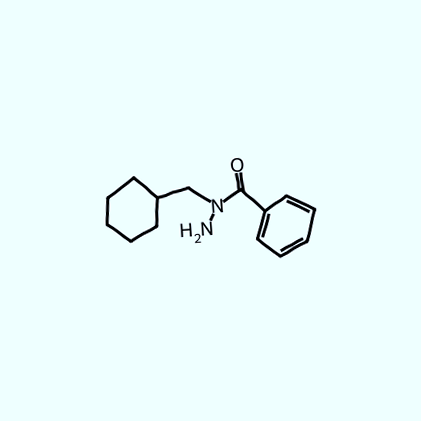 NN(CC1CCCCC1)C(=O)c1ccccc1